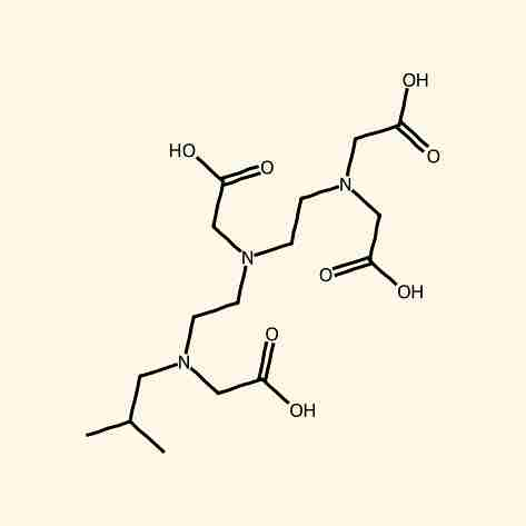 CC(C)CN(CCN(CCN(CC(=O)O)CC(=O)O)CC(=O)O)CC(=O)O